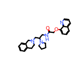 O=C(COc1cccc2cccnc12)NCC(CN1CCc2ccccc2C1)N1CCCC1